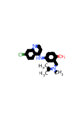 CC(C)N(C)Cc1cc(Nc2ccnc3cc(Cl)ccc23)ccc1O